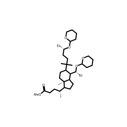 CC[C@@H](CCC(C)(C)C1CC[C@@]2(C)C(CCC2[C@H](C)CCC(=O)OC)C1[C@@H](CC)OC1CCCCO1)OC1CCCCO1